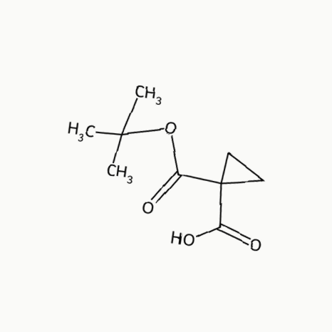 CC(C)(C)OC(=O)C1(C(=O)O)CC1